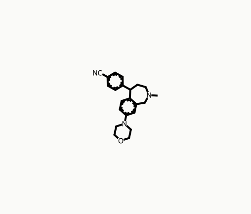 CN1CCC(c2ccc(C#N)cc2)c2ccc(N3CCOCC3)cc2C1